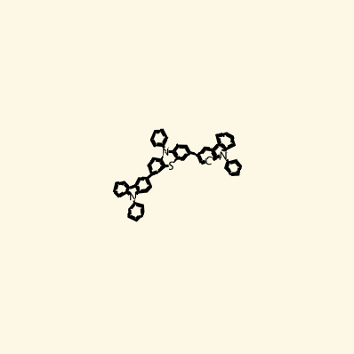 c1ccc(N2c3ccc(-c4ccc5c(c4)c4ccccc4n5-c4ccccc4)cc3Sc3cc(-c4ccc5c(c4)c4ccccc4n5-c4ccccc4)ccc32)cc1